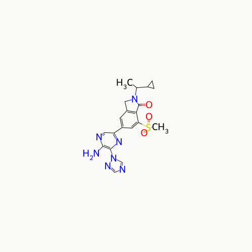 CC(C1CC1)N1Cc2cc(-c3cnc(N)c(-n4cncn4)n3)cc(S(C)(=O)=O)c2C1=O